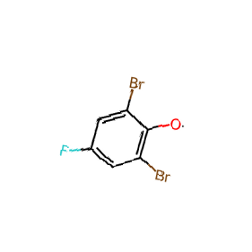 [O]c1c(Br)cc(F)cc1Br